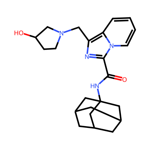 O=C(NC12CC3CC(CC(C3)C1)C2)c1nc(CN2CCC(O)C2)c2ccccn12